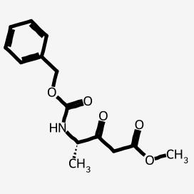 COC(=O)CC(=O)[C@H](C)NC(=O)OCc1ccccc1